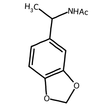 CC(=O)NC(C)c1ccc2c(c1)OCO2